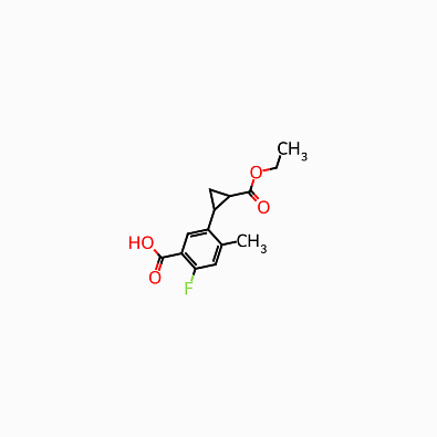 CCOC(=O)C1CC1c1cc(C(=O)O)c(F)cc1C